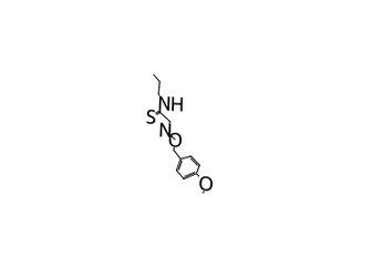 CCCNC(=S)C=NOCc1ccc(OC)cc1